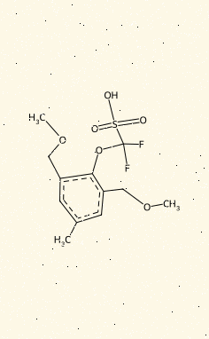 COCc1cc(C)cc(COC)c1OC(F)(F)S(=O)(=O)O